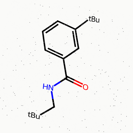 CC(C)(C)CNC(=O)c1cccc(C(C)(C)C)c1